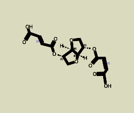 O=C(O)/C=C\C(=O)O[C@H]1CO[C@H]2[C@@H]1OC[C@@H]2OC(=O)/C=C/C(=O)O